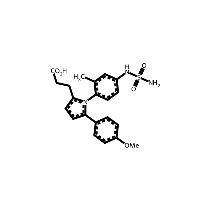 COc1ccc(-c2ccc(CCC(=O)O)n2-c2ccc(NS(N)(=O)=O)cc2C)cc1